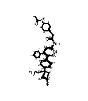 CC(=O)N(C)C1CCC(CC(=O)Nc2cc(-c3ccccc3)c(-c3ccc(C4(N)CC(F)C4)cc3)nn2)CC1